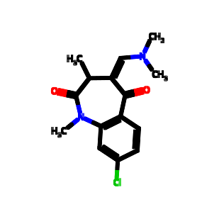 CC1C(=O)N(C)c2cc(Cl)ccc2C(=O)/C1=C\N(C)C